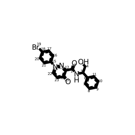 O=C(NC(CO)c1ccccc1)c1nn(-c2ccc(Br)cc2)ccc1=O